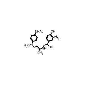 CCSc1cc(C(O)CNC(C)CCN(C)c2ccc(NC(C)=O)cc2)ccc1O